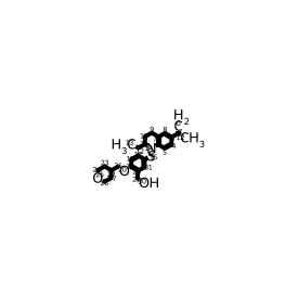 C=C(C)c1ccc2c(c1)CCC(CC)N2Sc1ccc(OCC2CCOCC2)c(CO)c1